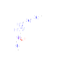 O=S(=O)(O)c1cc(N=Nc2ccccc2)ccc1N=Nc1ccc(Nc2nc(Cl)nc(Nc3ccc(N=Nc4ccc(N=Nc5ccccc5)cc4)cc3)n2)cc1